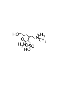 CN(C)CCC(CCCO)=C(CS(=O)(=O)O)C(N)=O